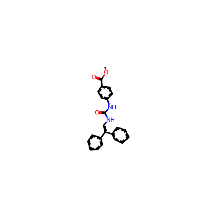 COC(=O)c1ccc(NC(=O)NC=C(c2ccccc2)c2ccccc2)cc1